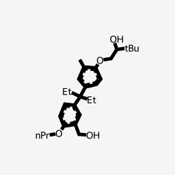 CCCOc1ccc(C(CC)(CC)c2ccc(OCC(O)C(C)(C)C)c(C)c2)cc1CO